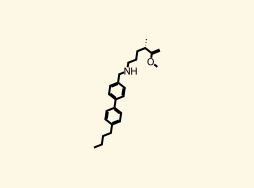 C=C(OC)[C@@H](C)CCCNCc1ccc(-c2ccc(CCCC)cc2)cc1